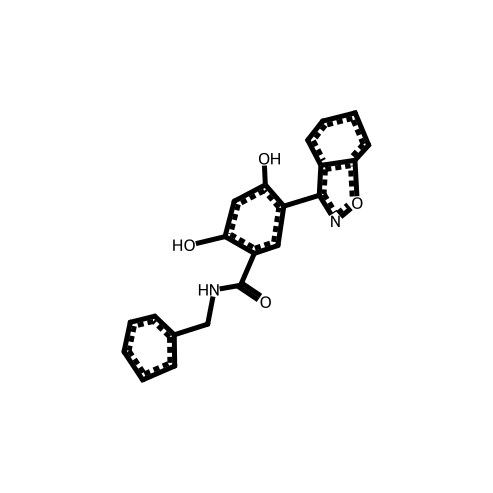 O=C(NCc1ccccc1)c1cc(-c2noc3ccccc23)c(O)cc1O